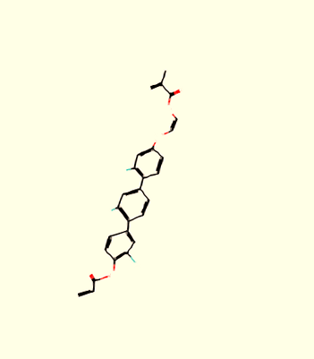 C=CC(=O)Oc1ccc(-c2ccc(-c3ccc(O/C=C\OC(=O)C(=C)C)cc3F)cc2F)cc1F